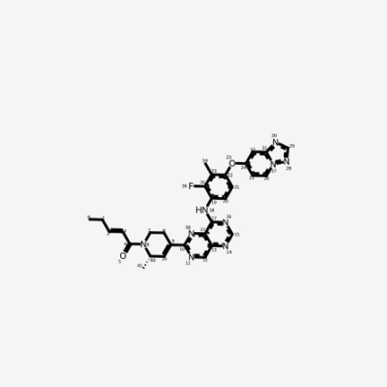 CC/C=C/C(=O)N1CCC(c2ncc3ncnc(Nc4ccc(Oc5ccn6ncnc6c5)c(C)c4F)c3n2)=C[C@@H]1C